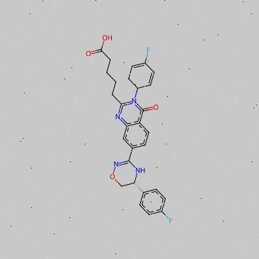 O=C(O)CCCCc1nc2cc(C3=NOC[C@@H](c4ccc(F)cc4)N3)ccc2c(=O)n1C1C=CC(F)=CC1